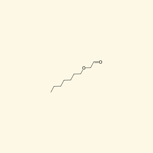 CCCCCCCOCC=O